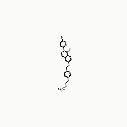 CCCCc1ccc(CCc2ccc3c(F)c(-c4ccc(F)cc4)ccc3c2)cc1